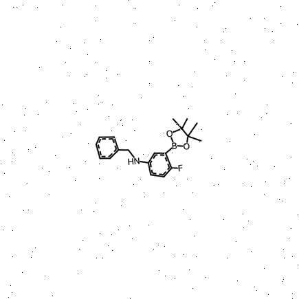 CC1(C)OB(c2cc(NCc3ccccc3)ccc2F)OC1(C)C